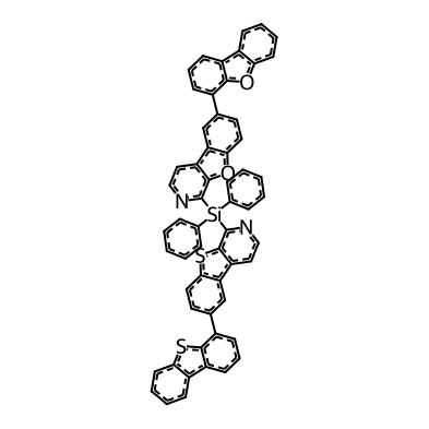 c1ccc([Si](c2ccccc2)(c2nccc3c2oc2ccc(-c4cccc5c4oc4ccccc45)cc23)c2nccc3c2sc2ccc(-c4cccc5c4sc4ccccc45)cc23)cc1